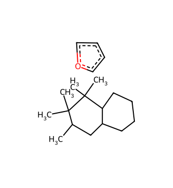 CC1CC2CCCCC2C(C)(C)C1(C)C.c1ccoc1